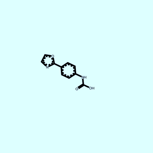 O=C(O)Nc1ccc(-c2ncco2)cc1